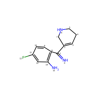 N=C(C1=CCCNC1)c1ccc(F)cc1N